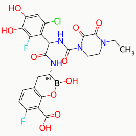 CCN1CCN(C(=O)NC(C(=O)N[C@H]2Cc3ccc(F)c(C(=O)O)c3OB2O)c2c(Cl)cc(O)c(O)c2F)C(=O)C1=O